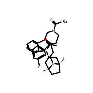 Cc1nc2ccccc2n1[C@H]1C[C@H]2CC[C@@H](C1)N2CCC1(c2cc(F)cc(Cl)c2)CCN(C(=O)C(C)(C)C)CC1